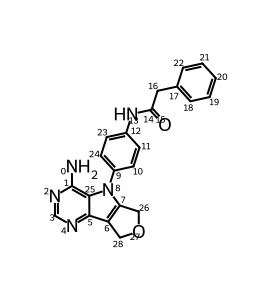 Nc1ncnc2c3c(n(-c4ccc(NC(=O)Cc5ccccc5)cc4)c12)COC3